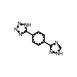 c1nc(-c2ccc(-c3nnn[nH]3)cc2)n[nH]1